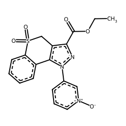 CCOC(=O)c1nn(-c2ccc[n+]([O-])c2)c2c1CS(=O)(=O)c1ccccc1-2